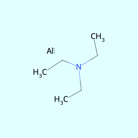 CCN(CC)CC.[Al]